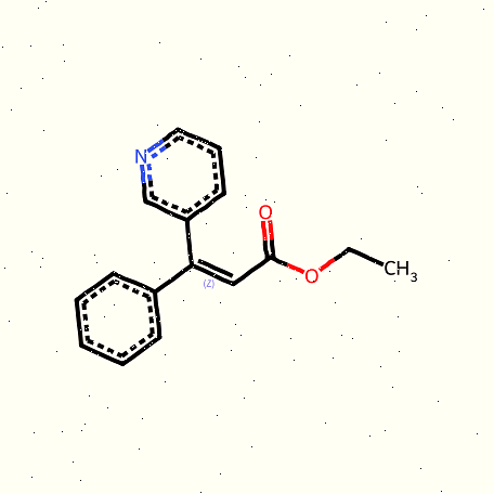 CCOC(=O)/C=C(/c1ccccc1)c1cccnc1